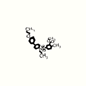 CCCOc1ccc(-c2ccc(N(CCC)S(=O)(=O)c3ccc(C)c(C(=O)OC)c3)cc2)cc1